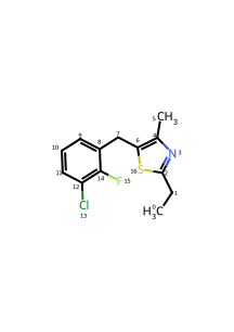 CCc1nc(C)c(Cc2cccc(Cl)c2F)s1